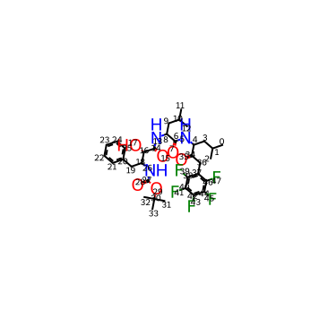 CC(C)CC(NC(=O)C(CC(C)C)NC(=O)C(O)C(Cc1ccccc1)NC(=O)OC(C)(C)C)C(=O)Cc1c(F)c(F)c(F)c(F)c1F